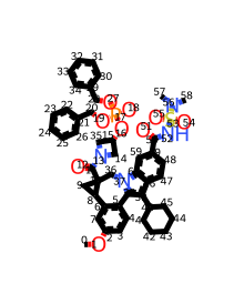 COc1ccc2c(c1)C1CC1(C(=O)N1CC(OP(=O)(OCc3ccccc3)OCc3ccccc3)C1)Cn1c-2c(C2CCCCC2)c2ccc(C(=O)NS(=O)(=O)N(C)C)cc21